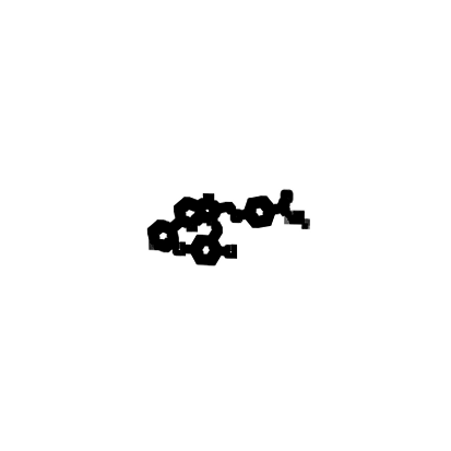 NC(=O)c1ccc(OCc2nc3ccc(-c4ccncc4)nc3n2Cc2cc(Cl)ccc2Cl)cc1